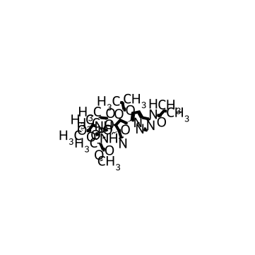 COC(=O)[C@H](C)NP(=O)(N[C@@H](C)C(=O)OC)OC[C@@]1(C#N)O[C@@H](c2ccc3c(NC(=O)C(C)C)ncnn23)[C@H](OC(=O)C(C)C)[C@@H]1OC(=O)C(C)C